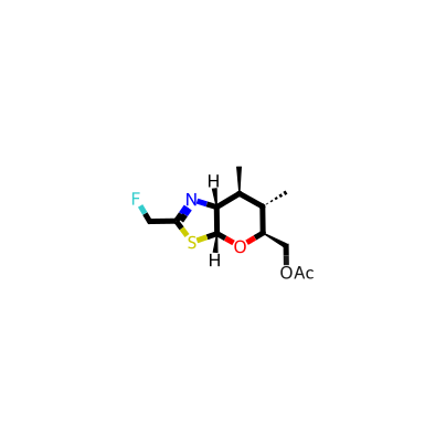 CC(=O)OC[C@H]1O[C@@H]2SC(CF)=N[C@@H]2[C@@H](C)[C@@H]1C